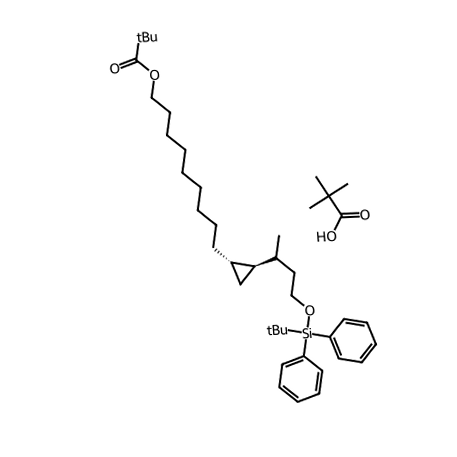 CC(C)(C)C(=O)O.CC(CCO[Si](c1ccccc1)(c1ccccc1)C(C)(C)C)[C@H]1C[C@@H]1CCCCCCCCCOC(=O)C(C)(C)C